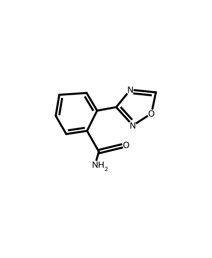 NC(=O)c1ccccc1-c1ncon1